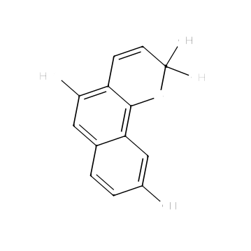 Cc1ccc2cc(C)c3c(c2c1)OC(C)(C)C=C3